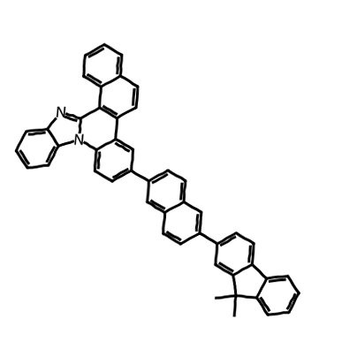 CC1(C)c2ccccc2-c2ccc(-c3ccc4cc(-c5ccc6c(c5)c5ccc7ccccc7c5c5nc7ccccc7n65)ccc4c3)cc21